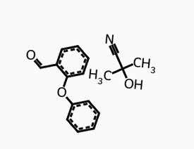 CC(C)(O)C#N.O=Cc1ccccc1Oc1ccccc1